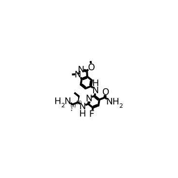 CC[C@@H](Nc1nc(Nc2ccc3c(c2)c(OC)nn3C)c(C(N)=O)cc1F)[C@H](C)N